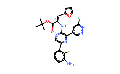 CC(C)(C)OC(=O)/C(=C/c1ccco1)Nc1ncc(-c2cccc(N)c2F)nc1-c1cnnc(Cl)c1